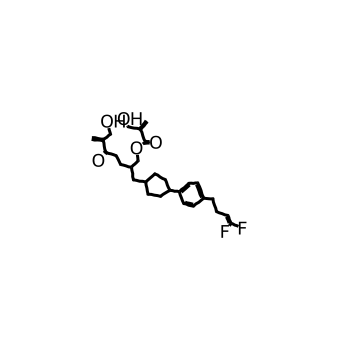 C=C(CO)C(=O)CCC(COC(=O)C(=C)CO)CC1CCC(c2ccc(CCC=C(F)F)cc2)CC1